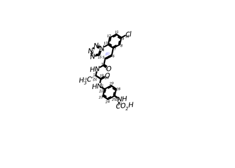 C[C@H](NC(=O)/C=C/c1cc(Cl)ccc1-n1cnnn1)C(=O)Nc1ccc(NC(=O)O)cc1